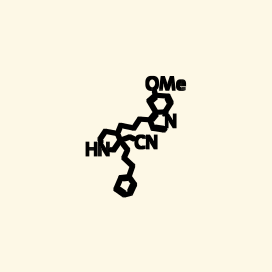 COc1ccc2nccc(CCCC3CCNCC3(CC#N)CCCc3ccccc3)c2c1